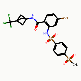 CS(=O)(=O)c1ccc(S(=O)(=O)Nc2cc(S)ccc2C(=O)NC23CC(C(F)(F)F)(C2)C3)cc1